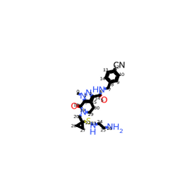 Cn1nc(C(=O)NCc2ccc(C#N)cc2)c2c1C(=O)N(CC1(SNCCN)CC1)CC2